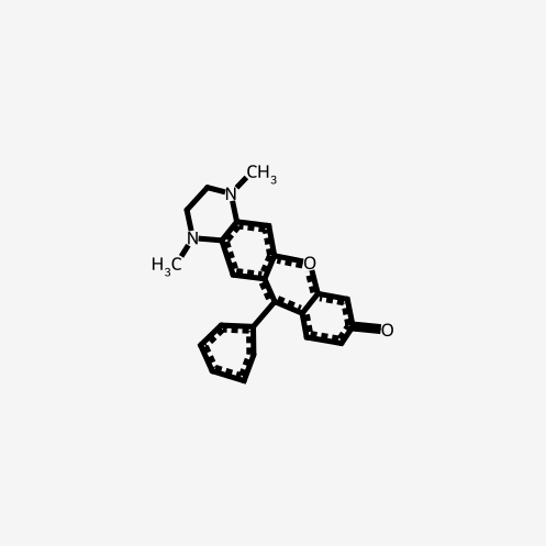 CN1CCN(C)c2cc3c(-c4ccccc4)c4ccc(=O)cc-4oc3cc21